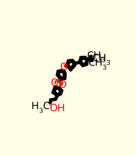 CC(O)CCc1ccc(S(=O)(=O)c2ccc(Oc3ccc(-c4ccc(C(C)(C)C)cc4)cc3)cc2)cc1